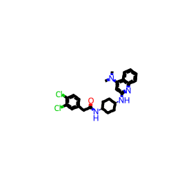 CN(C)c1cc(N[C@H]2CC[C@@H](NC(=O)Cc3ccc(Cl)c(Cl)c3)CC2)nc2ccccc12